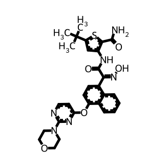 CC(C)(C)c1cc(NC(=O)C(=NO)c2ccc(Oc3ccnc(N4CCOCC4)n3)c3ccccc23)c(C(N)=O)s1